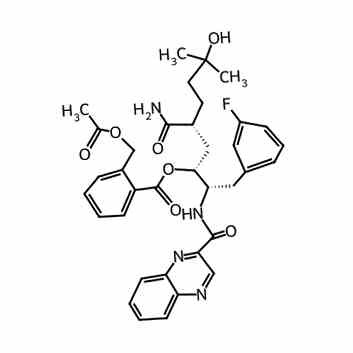 CC(=O)OCc1ccccc1C(=O)O[C@H](C[C@@H](CCC(C)(C)O)C(N)=O)[C@H](Cc1cccc(F)c1)NC(=O)c1cnc2ccccc2n1